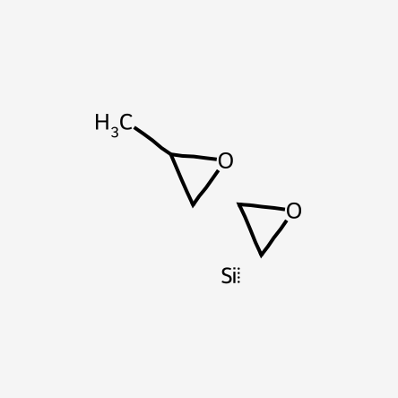 C1CO1.CC1CO1.[Si]